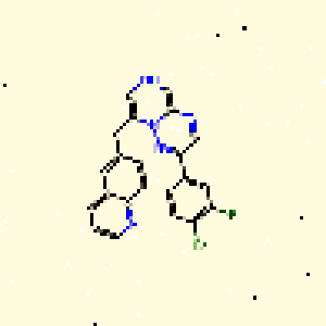 C=C1N=CC(c2ccc(Br)c(F)c2)=NN1/C(=C\N)Cc1ccc2ncccc2c1